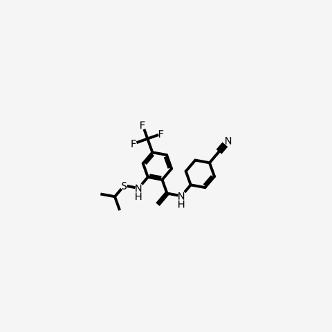 C=C(NC1C=CC(C#N)CC1)c1ccc(C(F)(F)F)cc1NSC(C)C